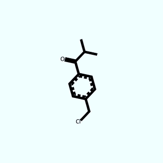 CC(C)C(=O)c1ccc(CCl)cc1